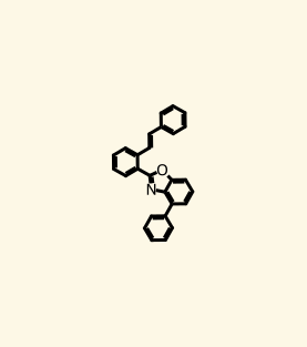 C(=C\c1ccccc1-c1nc2c(-c3ccccc3)cccc2o1)/c1ccccc1